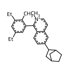 CCc1cc(CC)c(C)c(-c2c3ccc(C4CC5CCC4C5)cc3cc[n+]2C)c1